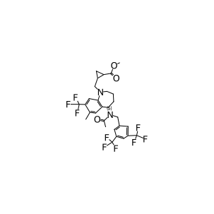 COC(=O)C1CC1CN1CCC[C@H](N(Cc2cc(C(F)(F)F)cc(C(F)(F)F)c2)C(C)=O)c2cc(C)c(C(F)(F)F)cc21